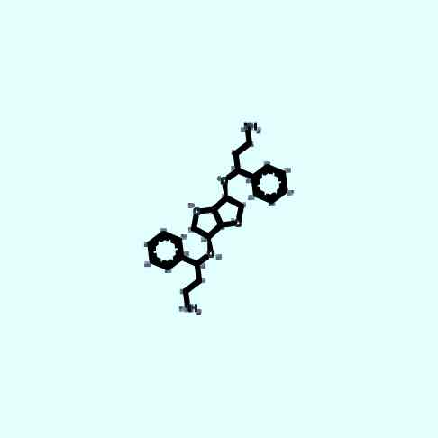 NCCC(O[C@H]1COC2C1OC[C@@H]2OC(CCN)c1ccccc1)c1ccccc1